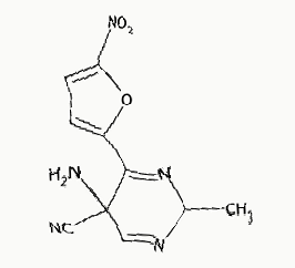 CC1N=CC(N)(C#N)C(c2ccc([N+](=O)[O-])o2)=N1